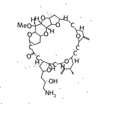 C=C1C[C@@H]2CC[C@@H]3C[C@]4(C)O[C@H]5[C@@H](OC)C6OC(CCC6O[C@H]5C4O3)CC(=O)C[C@H]3[C@H](C[C@H]4O[C@@H](CCC1O2)C[C@@H](C)C4=C)OC(C[C@H](O)CN)[C@@H]3C